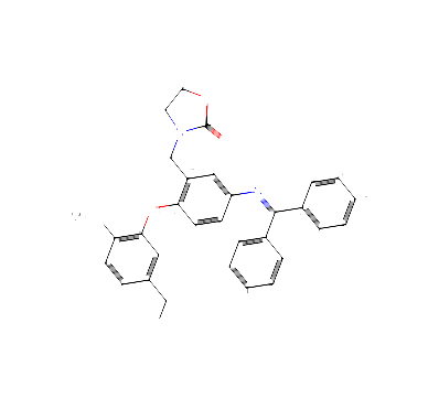 CCOC(=O)Cc1ccc(OC)c(Oc2ccc(N=C(c3ccccc3)c3ccccc3)cc2CN2CCOC2=O)c1